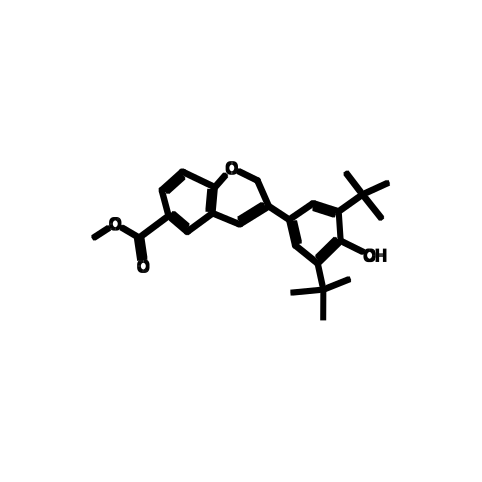 COC(=O)c1ccc2c(c1)C=C(c1cc(C(C)(C)C)c(O)c(C(C)(C)C)c1)CO2